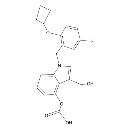 O=C(O)Oc1cccc2c1c(CO)cn2Cc1cc(F)ccc1OC1CCC1